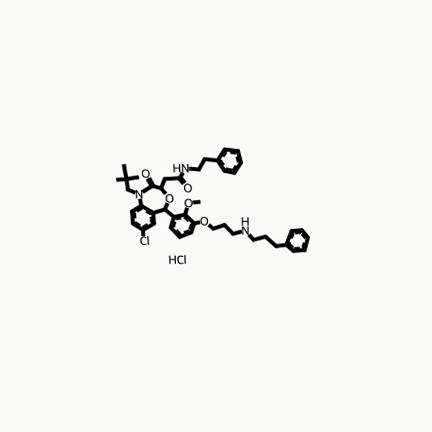 COc1c(OCCCNCCCc2ccccc2)cccc1C1OC(CC(=O)NCCc2ccccc2)C(=O)N(CC(C)(C)C)c2ccc(Cl)cc21.Cl